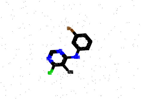 N#Cc1c(Cl)ncnc1Nc1cccc(Br)c1